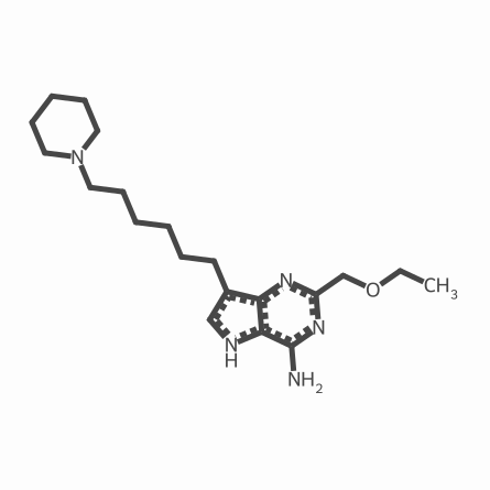 CCOCc1nc(N)c2[nH]cc(CCCCCCN3CCCCC3)c2n1